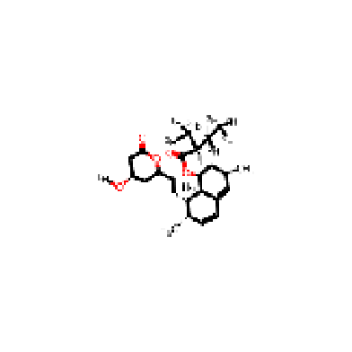 [2H]O[C@H]1CC(=O)OC(CC[C@@H]2[C@@H]3C(=C[C@H](C)C[C@@H]3OC(=O)[C@@]([2H])(C([2H])([2H])[2H])C([2H])([2H])C([2H])([2H])[2H])C=C[C@@H]2C)C1